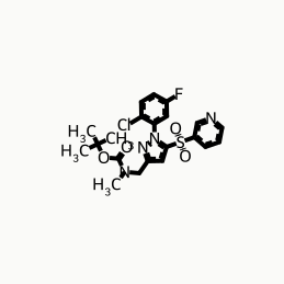 CN(Cc1cc(S(=O)(=O)c2cccnc2)n(-c2cc(F)ccc2Cl)n1)C(=O)OC(C)(C)C